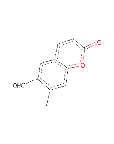 Cc1cc2oc(=O)ccc2cc1C=O